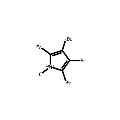 [CH2-][NH+]1C(C(C)C)=C(Br)C(C(C)(C)C)=C1C(C)C